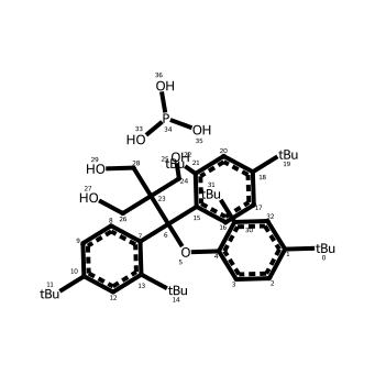 CC(C)(C)c1ccc(OC(c2ccc(C(C)(C)C)cc2C(C)(C)C)(c2ccc(C(C)(C)C)cc2C(C)(C)C)C(CO)(CO)CO)c(C(C)(C)C)c1.OP(O)O